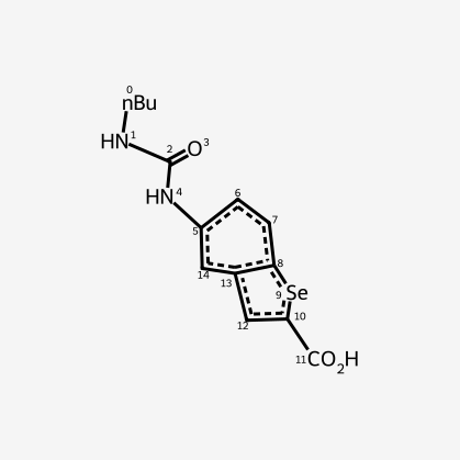 CCCCNC(=O)Nc1ccc2[se]c(C(=O)O)cc2c1